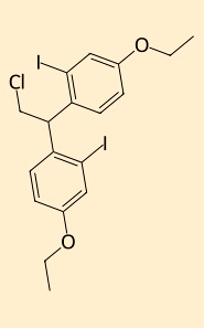 CCOc1ccc(C(CCl)c2ccc(OCC)cc2I)c(I)c1